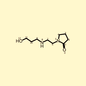 O=C1CCCN1CCNCCCO